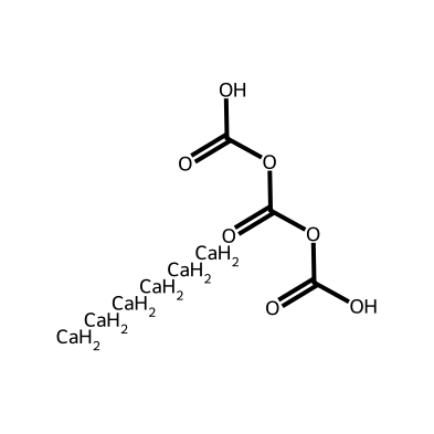 O=C(O)OC(=O)OC(=O)O.[CaH2].[CaH2].[CaH2].[CaH2].[CaH2].[CaH2]